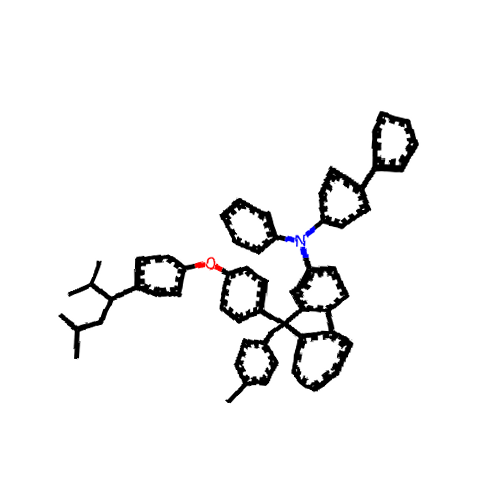 Cc1ccc(C2(c3ccc(Oc4ccc(C(CC(C)C)C(C)C)cc4)cc3)c3ccccc3-c3ccc(N(c4ccccc4)c4ccc(-c5ccccc5)cc4)cc32)cc1